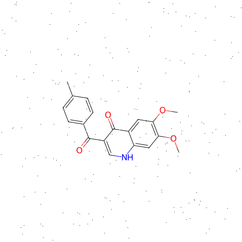 COc1cc2[nH]cc(C(=O)c3ccc(C)cc3)c(=O)c2cc1OC